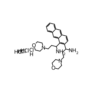 Cl.Cl.Cl.Cl.NC(CCN1CCOCC1)c1ccc2cc3ccccc3cc2c1C(N)CCN1CCOCC1